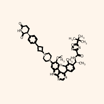 COc1cc2c(cc1N1CCN(C3CC(c4ccc([C@@H]5CCC(=O)NC5=O)cc4)C3)CC1)[nH]c1ncnc(-c3ccc([C@@H](C)NC(=O)c4noc(C(C)(C)C)n4)c(C)c3F)c12